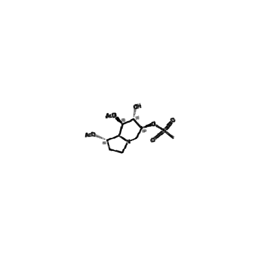 CC(=O)O[C@H]1CCN2C[C@H](OS(C)(=O)=O)[C@@H](O)[C@H](OC(C)=O)C12